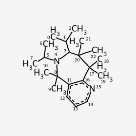 CC(C)C1N(C(C)C)C(C)(C)c2cccnc2C(C)(C)C1(C)C